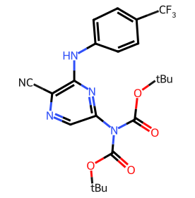 CC(C)(C)OC(=O)N(C(=O)OC(C)(C)C)c1cnc(C#N)c(Nc2ccc(C(F)(F)F)cc2)n1